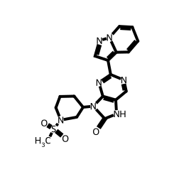 CS(=O)(=O)N1CCCC(n2c(=O)[nH]c3cnc(-c4cnn5ccccc45)nc32)C1